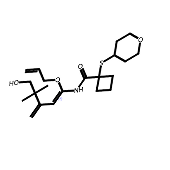 C=CCO/C(=C\C(=C)C(C)(C)CO)NC(=O)C1(SC2CCOCC2)CCC1